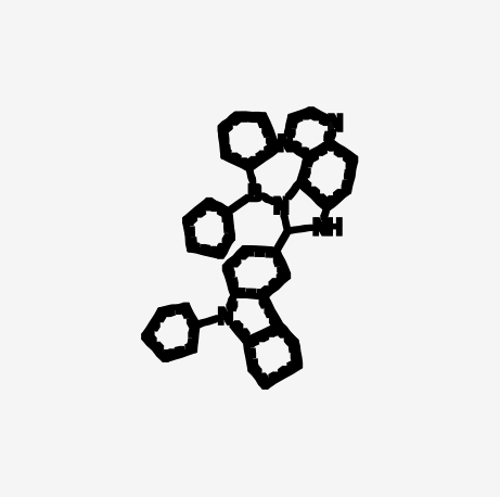 c1ccc(B(c2ccccc2)N2c3c(ccc4nccnc34)NC2c2ccc3c(c2)c2ccccc2n3-c2ccccc2)cc1